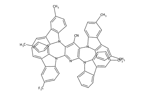 Cc1ccc2c(c1)c1cc(C)ccc1n2-c1c(-n2c3ccccc3c3cc(C(F)(F)F)ccc32)nc(-n2c3ccccc3c3cc(C(F)(F)F)ccc32)c(-n2c3ccc(C)cc3c3cc(C)ccc32)c1C#N